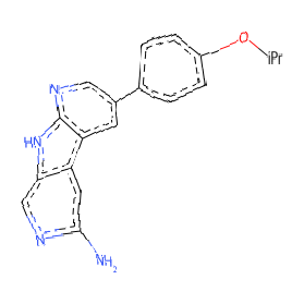 CC(C)Oc1ccc(-c2cnc3[nH]c4cnc(N)cc4c3c2)cc1